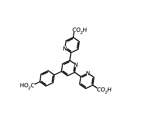 O=C(O)c1ccc(-c2cc(-c3ccc(C(=O)O)cn3)nc(-c3ccc(C(=O)O)cn3)c2)cc1